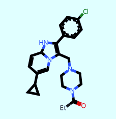 CCC(=O)N1CCN(CC2=C(c3ccc(Cl)cc3)NC3C=CC(C4CC4)=CN23)CC1